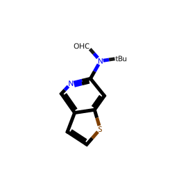 CC(C)(C)N(C=O)c1cc2sccc2cn1